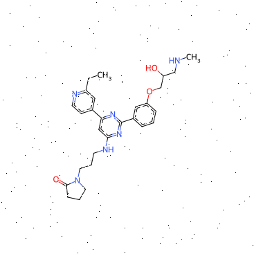 CCc1cc(-c2cc(NCCCN3CCCC3=O)nc(-c3cccc(OCC(O)CNC)c3)n2)ccn1